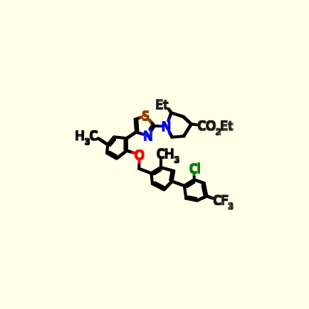 CCOC(=O)C1CCN(c2nc(-c3cc(C)ccc3OCc3ccc(-c4ccc(C(F)(F)F)cc4Cl)cc3C)cs2)C(CC)C1